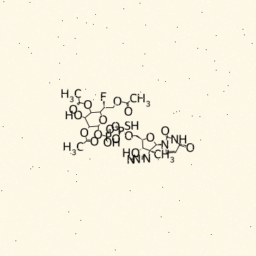 CC(=O)OC[C@H](F)C1OC(OP(=O)(O)OP(=O)(S)OC[C@H]2O[C@@H](n3ccc(=O)[nH]c3=O)[C@](C)(N=[N+]=[N-])[C@@H]2O)C(OC(C)=O)C(O)C1OC(C)=O